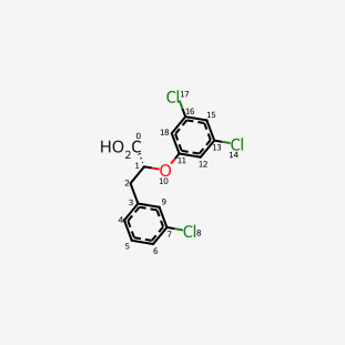 O=C(O)[C@@H](Cc1cccc(Cl)c1)Oc1cc(Cl)cc(Cl)c1